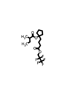 CCC(C)C(=O)OC1(CCCC(=O)OCC(F)(F)C(F)(F)F)CCCC1